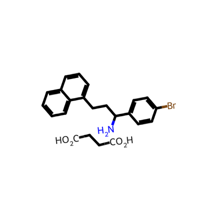 NC(CCc1cccc2ccccc12)c1ccc(Br)cc1.O=C(O)CCC(=O)O